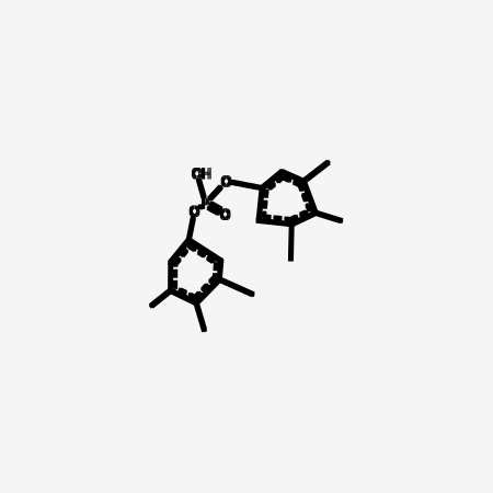 Cc1cc(OP(=O)(O)Oc2cc(C)c(C)c(C)c2)cc(C)c1C